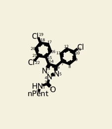 CCCCCNC(=O)n1nc(-c2ccc(Cl)cc2)c(-c2ccc(Cl)cc2Cl)n1